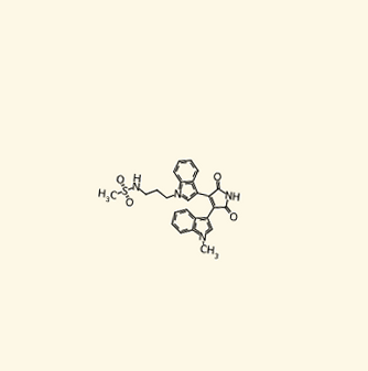 Cn1cc(C2=C(c3cn(CCCNS(C)(=O)=O)c4ccccc34)C(=O)NC2=O)c2ccccc21